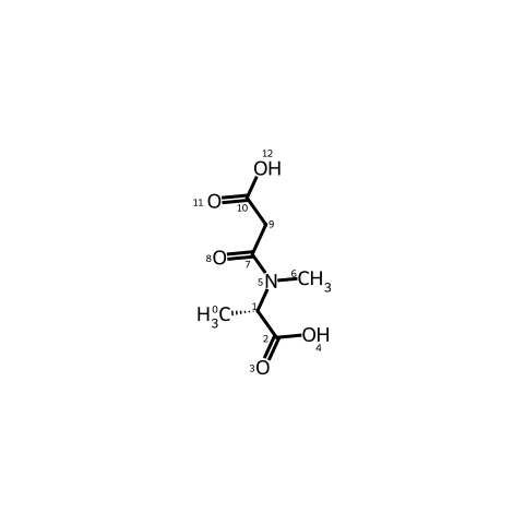 C[C@@H](C(=O)O)N(C)C(=O)CC(=O)O